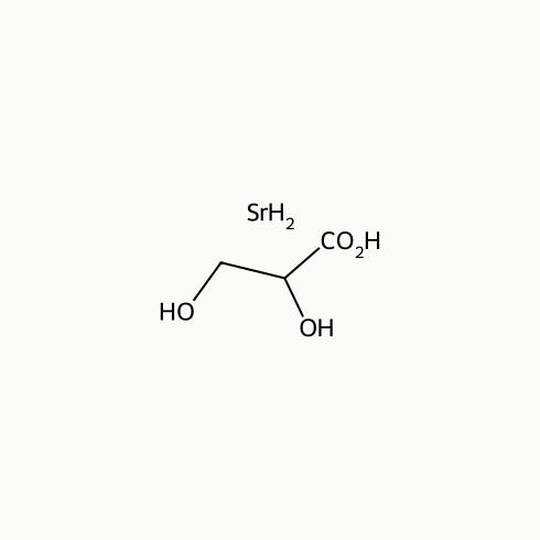 O=C(O)C(O)CO.[SrH2]